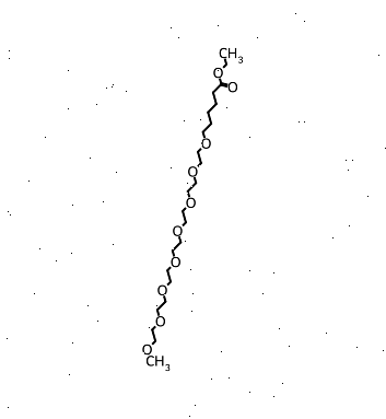 CCOC(=O)CCCCCOCCOCCOCCOCCOCCOCCOCCOC